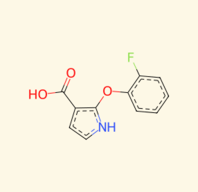 O=C(O)c1cc[nH]c1Oc1ccccc1F